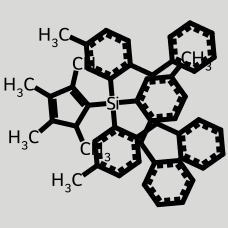 CC1=C(C)C(C)C([Si](c2cc(C)ccc2Cc2ccccc2)(c2cc(C)ccc2Cc2ccccc2)c2cc(C)ccc2Cc2ccccc2)=C1C